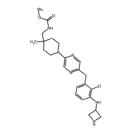 CC1(CNC(=O)OC(C)(C)C)CCN(c2cnc(Sc3cccc(NC4CNC4)c3Cl)cn2)CC1